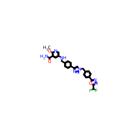 COc1ncc(NCc2ccc(-c3cn(Cc4ccc(-c5nnc(C(F)F)o5)cc4)nn3)cc2)cc1C(N)=O